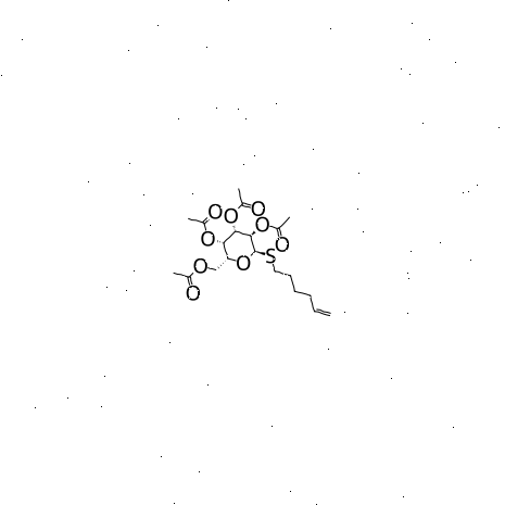 C=CCCCCS[C@H]1O[C@H](COC(C)=O)[C@H](OC(C)=O)[C@H](OC(C)=O)[C@H]1OC(C)=O